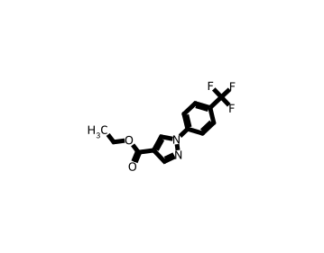 CCOC(=O)c1cnn(-c2ccc(C(F)(F)F)cc2)c1